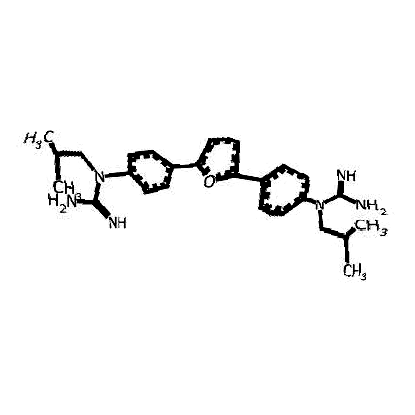 CC(C)CN(C(=N)N)c1ccc(-c2ccc(-c3ccc(N(CC(C)C)C(=N)N)cc3)o2)cc1